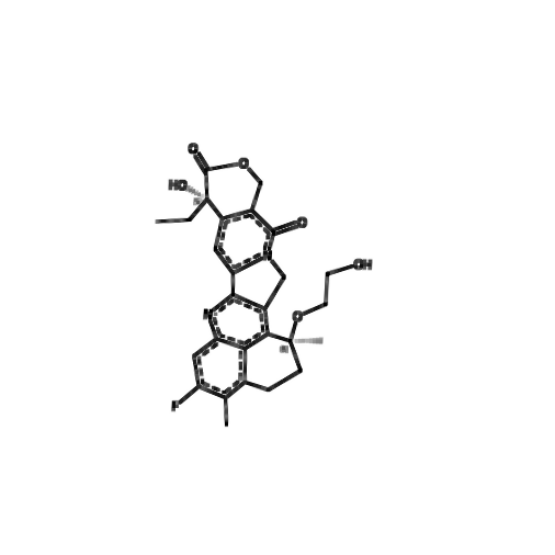 CC[C@@]1(O)C(=O)OCc2c1cc1n(c2=O)Cc2c-1nc1cc(F)c(C)c3c1c2[C@@](C)(OCCO)CC3